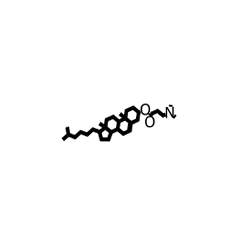 CC(C)CCCCC1CCC2C3CC=C4CC(OC(=O)CCN(C)C)CCC4(C)C3CCC12C